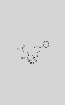 CCC(CCSP(=O)(CC(CCC(=O)O)C(=O)O)SO)c1ccccc1